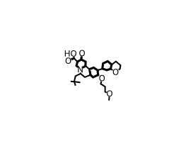 COCCCOc1cc2c(cc1-c1ccc3c(c1)OCCC3)-c1cc(=O)c(C(=O)O)cn1C(CC(C)(C)C)C2